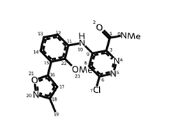 CNC(=O)c1nnc(Cl)cc1Nc1cccc(-c2cc(C)no2)c1OC